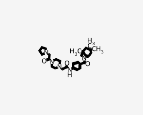 CC1(C)CC2CC(C)(CN2C(=O)c2ccc(NC(=O)CN3CCN(C(=O)CN4CCCC4)CC3)cc2)C1